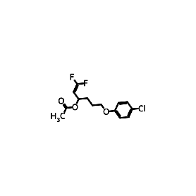 CC(=O)OC(C=C(F)F)CCCOc1ccc(Cl)cc1